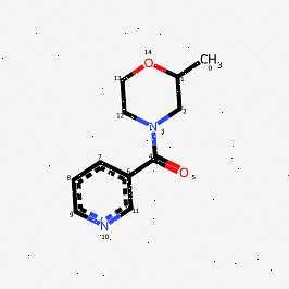 CC1CN(C(=O)c2cc[c]nc2)CCO1